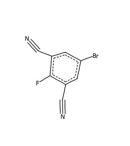 N#Cc1cc(Br)cc(C#N)c1F